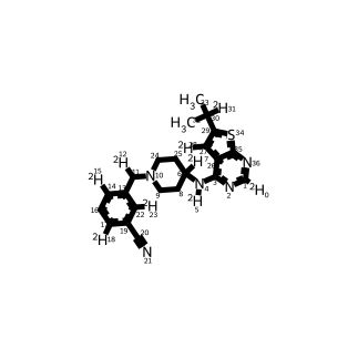 [2H]c1nc(N([2H])C2([2H])CCN(C([2H])c3c([2H])cc([2H])c(C#N)c3[2H])CC2)c2c([2H])c(C([2H])(C)C)sc2n1